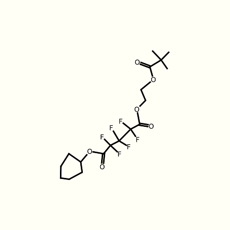 CC(C)(C)C(=O)OCCOC(=O)C(F)(F)C(F)(F)C(F)(F)C(=O)OC1CCCCC1